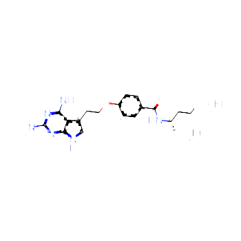 CCOC(=O)CC[C@H](NC(=O)c1ccc(OCCc2c[nH]c3nc(N)nc(N)c23)cc1)C(=O)OCC